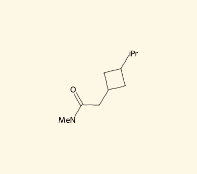 CNC(=O)CC1CC(C(C)C)C1